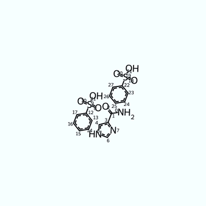 NC(=O)c1c[nH]cn1.O=S(=O)(O)c1ccccc1.O=S(=O)(O)c1ccccc1